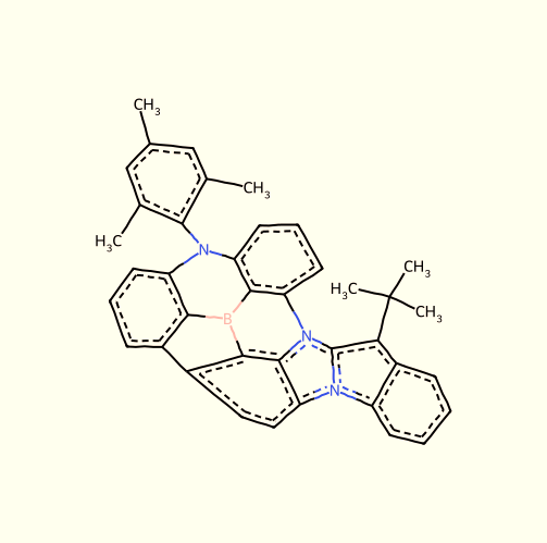 Cc1cc(C)c(N2c3cccc4c3B3c5c2cccc5-n2c5c3c-4ccc5n3c4ccccc4c(C(C)(C)C)c23)c(C)c1